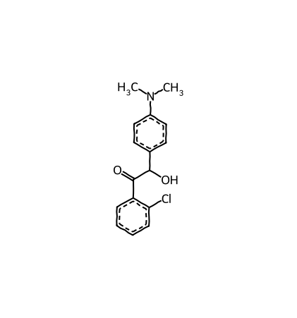 CN(C)c1ccc(C(O)C(=O)c2ccccc2Cl)cc1